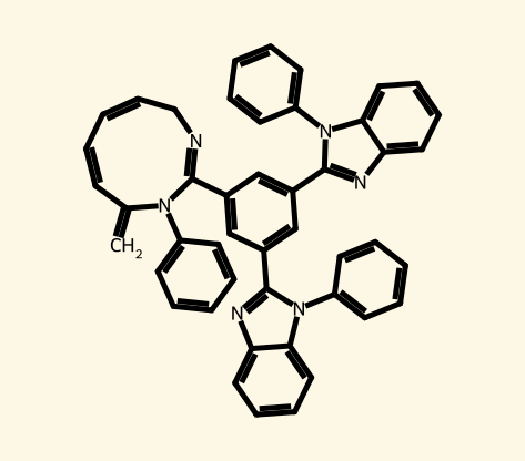 C=C1/C=C\C=C/C/N=C(/c2cc(-c3nc4ccccc4n3-c3ccccc3)cc(-c3nc4ccccc4n3-c3ccccc3)c2)N1c1ccccc1